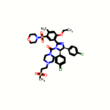 CCOc1cc(C)c(S(=O)(=O)N2CCOCC2)cc1C1=N[C@@H](c2ccc(Cl)cc2)[C@@H](c2ccc(Cl)cc2)N1C(=O)N1CCN(CCS(C)(=O)=O)CC1